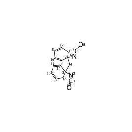 O=C=NC1(CC2(N=C=O)C=CC=CC2)C=CC=CC1